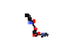 CCCN(C)CCO[C@H]1CCOc2ccc(OCCCCNC(=O)c3ccc4c(c3)Cc3ccccc3-4)cc21